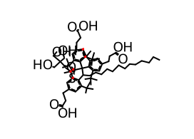 CCCCCCCCCCCCCC(c1c(C(C)(C)C)cc(CCC(=O)O)cc1C(C)(C)C)C(C(=S)OCC(CO)(CO)CO)(c1c(C(C)(C)C)cc(CCC(=O)O)cc1C(C)(C)C)c1c(C(C)(C)C)cc(CCC(=O)O)cc1C(C)(C)C